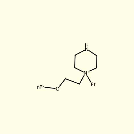 CCCOCC[N+]1(CC)CCNCC1